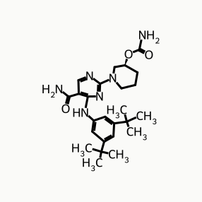 CC(C)(C)c1cc(Nc2nc(N3CCC[C@H](OC(N)=O)C3)ncc2C(N)=O)cc(C(C)(C)C)c1